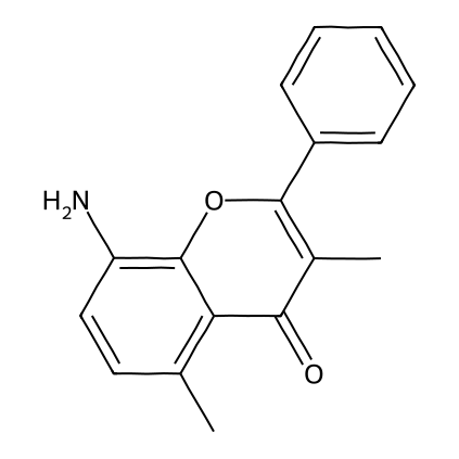 Cc1c(-c2ccccc2)oc2c(N)ccc(C)c2c1=O